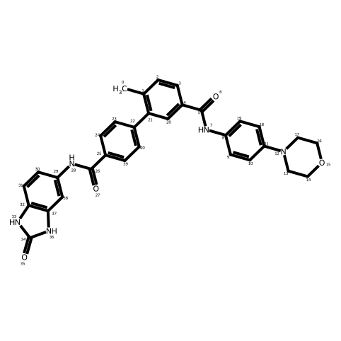 Cc1ccc(C(=O)Nc2ccc(N3CCOCC3)cc2)cc1-c1ccc(C(=O)Nc2ccc3[nH]c(=O)[nH]c3c2)cc1